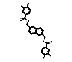 Cc1ccc(C(=O)OCc2ccc3cc(COC(=O)c4ccc(C)c(C)c4)ccc3c2)cc1C